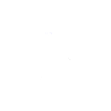 N[C@@H](CCC(=O)OC(C(=O)O)C(=O)O)C(=O)O.[Fe].[NaH]